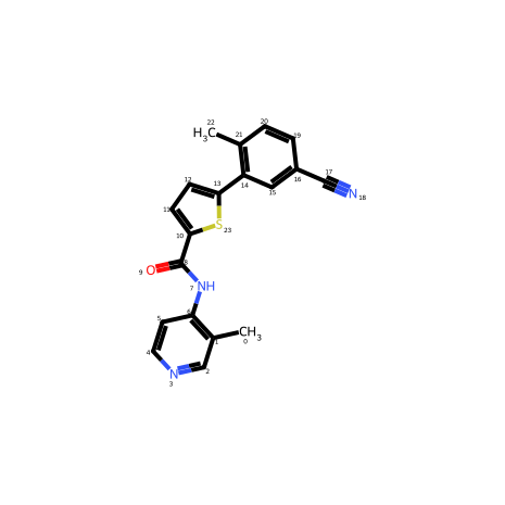 Cc1cnccc1NC(=O)c1ccc(-c2cc(C#N)ccc2C)s1